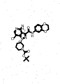 CC(C)(C)OC(=O)N1CCC[C@@H](n2nc(C(=O)Nc3ccc4c(c3)OCCO4)c3c(N)ncc(Cl)c32)C1